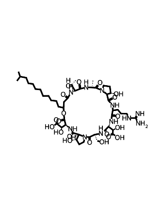 CC(C)CCCCCCCCCCC1CC(=O)N[C@H]([C@@H](C)O)C(=O)N[C@H](C)C(=O)N2CC[C@H](O)C2C(=O)NC(CCCNC(=N)N)C(=O)N[C@H]([C@@H](O)C(=O)O)C(=O)N[C@H](CO)C(=O)N2CC[C@H](O)[C@H]2C(=O)N[C@@H]([C@H](O)C(=O)O)C(=O)O1